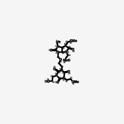 CCCN1C(=O)N(COCCn2c(=O)n(CCO)c(=O)n(CCOC)c2=O)C2C1N(COC)C(=O)N2COC